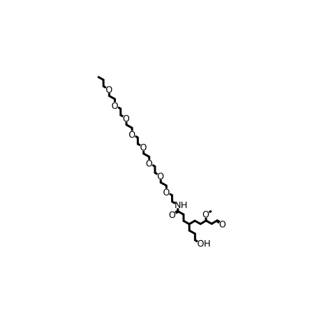 CCCOCCOCCOCCOCCOCCOCCOCCOCCNC(=O)CCC(CCCO)CCC(CC=O)OC